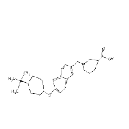 CC(C)(C)[C@H]1CC[C@H](Oc2ccc3cc(CN4CCC[C@@H](C(=O)O)C4)ccc3c2)CC1